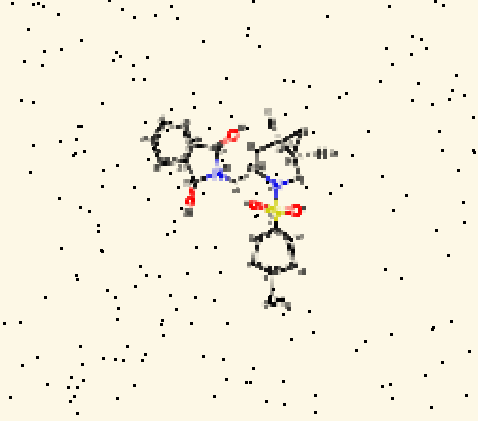 Cc1ccc(S(=O)(=O)N2C[C@@H]3C[C@@H]3C[C@H]2CN2C(=O)c3ccccc3C2=O)cc1